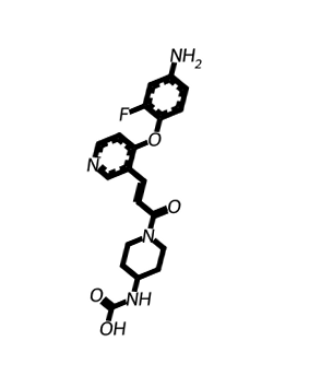 Nc1ccc(Oc2ccncc2C=CC(=O)N2CCC(NC(=O)O)CC2)c(F)c1